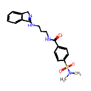 CN(C)S(=O)(=O)c1ccc(C(=O)NCCCNC2=NCc3ccccc32)cc1